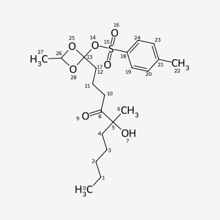 CCCCCC(C)(O)C(=O)CCCC1(OS(=O)(=O)c2ccc(C)cc2)OC(C)O1